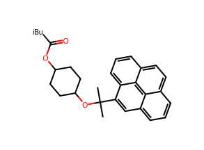 CCC(C)C(=O)OC1CCC(OC(C)(C)c2cc3cccc4ccc5cccc2c5c43)CC1